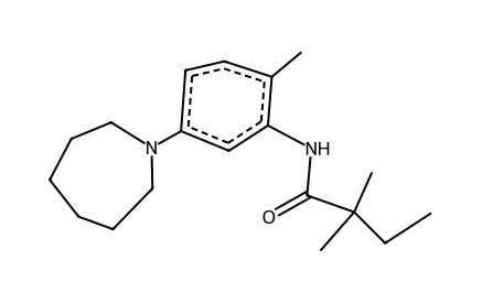 CCC(C)(C)C(=O)Nc1cc(N2CCCCCC2)ccc1C